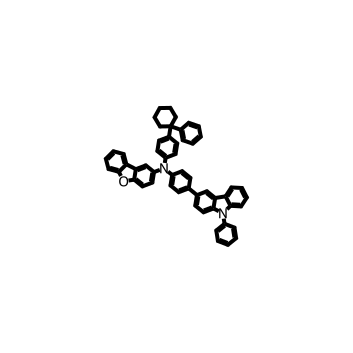 c1ccc(-n2c3ccccc3c3cc(-c4ccc(N(c5ccc(C6(c7ccccc7)CCCCC6)cc5)c5ccc6oc7ccccc7c6c5)cc4)ccc32)cc1